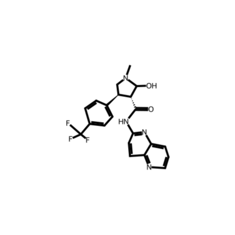 CN1C[C@H](c2ccc(C(F)(F)F)cc2)[C@@H](C(=O)Nc2ccc3ncccc3n2)C1O